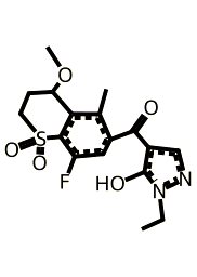 CCn1ncc(C(=O)c2cc(F)c3c(c2C)C(OC)CCS3(=O)=O)c1O